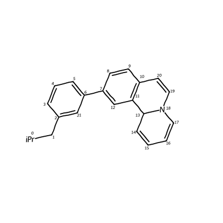 CC(C)Cc1cccc(-c2ccc3c(c2)C2C=CC=CN2C=C3)c1